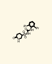 CC(C)c1cccc(C(C)C)c1NC(=O)NS(=O)(=O)C1CCC(=O)NC1